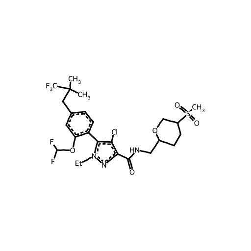 CCn1nc(C(=O)NCC2CCC(S(C)(=O)=O)CO2)c(Cl)c1-c1ccc(CC(C)(C)C(F)(F)F)cc1OC(F)F